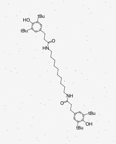 CC(C)(C)c1cc(CCC(=O)NCCCCCCCCCCNC(=O)CCc2cc(C(C)(C)C)c(O)c(C(C)(C)C)c2)cc(C(C)(C)C)c1O